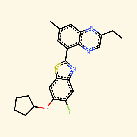 CCc1cnc2c(-c3nc4cc(F)c(OC5CCCC5)cc4s3)cc(C)cc2n1